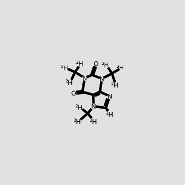 [2H]c1nc2c(c(=O)n(C([2H])([2H])[2H])c(=O)n2C([2H])([2H])[2H])n1C([2H])([2H])[2H]